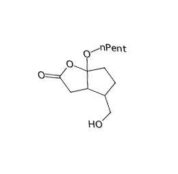 CCCCCOC12CCC(CO)C1CC(=O)O2